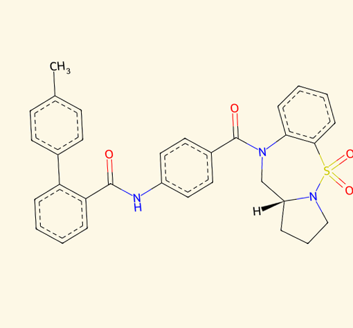 Cc1ccc(-c2ccccc2C(=O)Nc2ccc(C(=O)N3C[C@H]4CCCN4S(=O)(=O)c4ccccc43)cc2)cc1